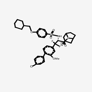 COc1cc(C(F)(F)[C@H](NS(=O)(=O)c2ccc(OCC3CCCCC3)cc2)C(=O)N2C3CCC2CC(N)C3)ccc1-c1ccc(Cl)cc1